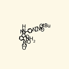 CC(C)(C)OC(=O)N1CCN(c2ccc(-c3[nH]nc4c3C(=O)c3c-4cccc3N(C(N)=O)N3CCOCC3)cc2)CC1